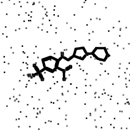 NS(=O)(=O)c1ccc(NCC2CCN(C3CCOCC3)C2)c([N+](=O)[O-])c1